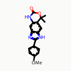 COc1ccc(-c2nc3cc4c(cc3[nH]2)C(C)(C)OC(=O)N4)cc1